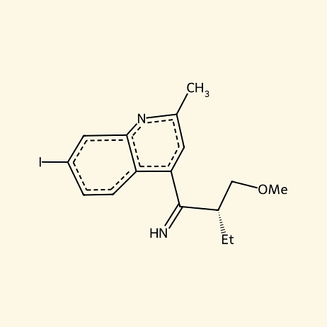 CC[C@@H](COC)C(=N)c1cc(C)nc2cc(I)ccc12